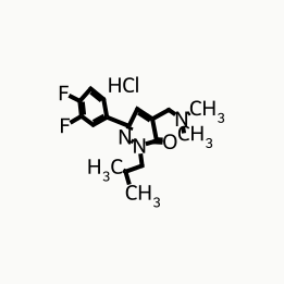 CC(C)Cn1nc(-c2ccc(F)c(F)c2)cc(CN(C)C)c1=O.Cl